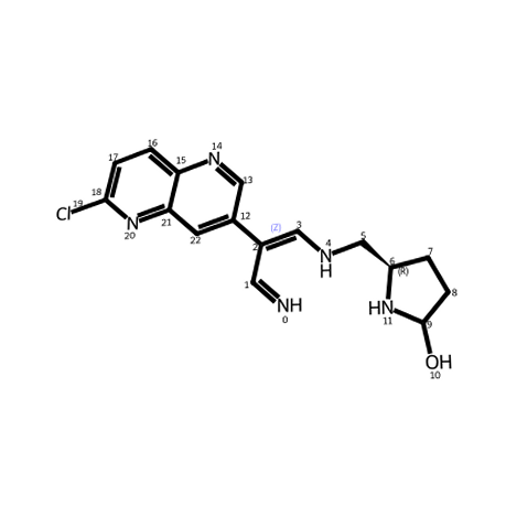 N=C/C(=C\NC[C@H]1CCC(O)N1)c1cnc2ccc(Cl)nc2c1